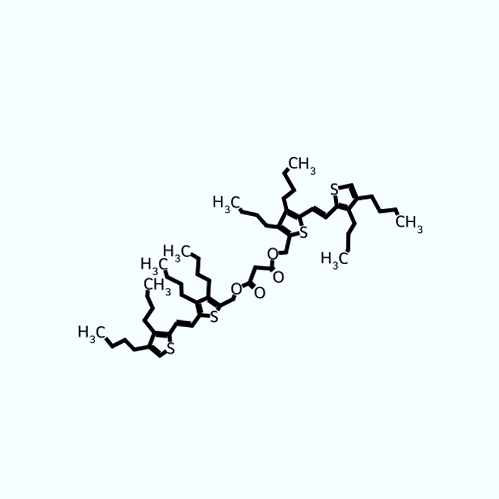 CCCCc1csc(/C=C/c2sc(COC(=O)CC(=O)OCc3sc(/C=C/c4scc(CCCC)c4CCCC)c(CCCC)c3CCCC)c(CCCC)c2CCCC)c1CCCC